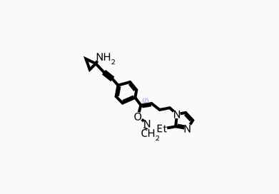 C=NO/C(=C\CCn1ccnc1CC)c1ccc(C#CC2(N)CC2)cc1